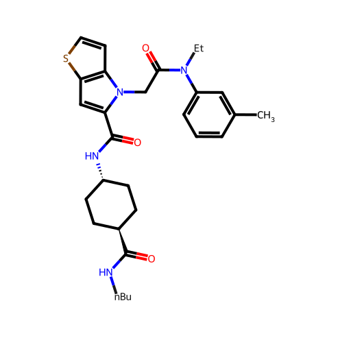 CCCCNC(=O)[C@H]1CC[C@H](NC(=O)c2cc3sccc3n2CC(=O)N(CC)c2cccc(C)c2)CC1